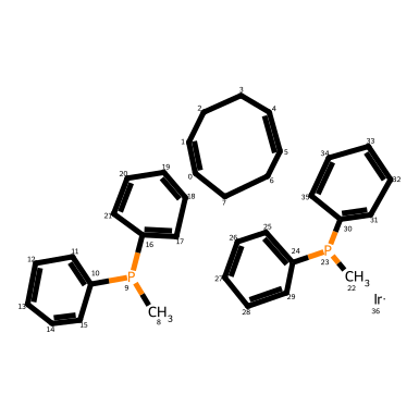 C1=CCCC=CCC1.CP(c1ccccc1)c1ccccc1.CP(c1ccccc1)c1ccccc1.[Ir]